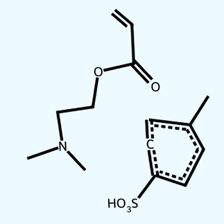 C=CC(=O)OCCN(C)C.Cc1ccc(S(=O)(=O)O)cc1